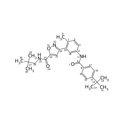 Cc1ccc(NC(=O)c2ccc(C(C)(C)C)cc2)cc1-c1cc(C(=O)NCC(C)(C)C)on1